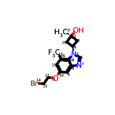 C[C@]1(O)C[C@@H](n2cnc3cc(OCCBr)cc(C(F)(F)F)c32)C1